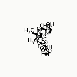 CCc1n(C)cc[n+]1O.CCc1n(C)cc[n+]1O.O=S(=O)(NS(=O)(=O)C(F)(F)F)C(F)(F)F